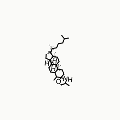 CC(C)CCC[C@@H](C)[C@H]1CC[C@H]2[C@@H]3CCC4C(C)C5(CC[C@]4(C)[C@H]3CC[C@]12C)NC(C)CO5